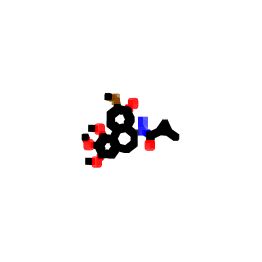 COc1cc2c(c(OC)c1OC)-c1ccc(SC)c(=O)cc1[C@H](NC(=O)C1CC1C)CC2